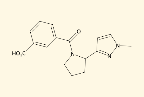 Cn1ccc(C2CCCN2C(=O)c2cccc(C(=O)O)c2)n1